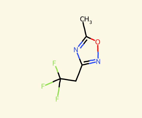 Cc1nc(CC(F)(F)F)no1